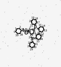 c1ccc(NON2C[C@H](P(c3ccccc3)c3ccccc3)C[C@@H]2CP(c2ccccc2)c2ccccc2)cc1